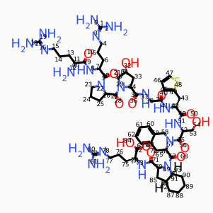 NC(N)=NCCCC(NC(=O)[C@H](N)CCCN=C(N)N)C(=O)N1CCCC1C(=O)N1C[C@H](O)CC1C(=O)NCC(=O)N[C@@H](Cc1cccs1)C(=O)NC(CO)C(=O)N1Cc2ccccc2CC1C(=O)N1C(C(=O)N[C@@H](CCCN=C(N)N)C(=O)O)C[C@@H]2CCCC[C@@H]21